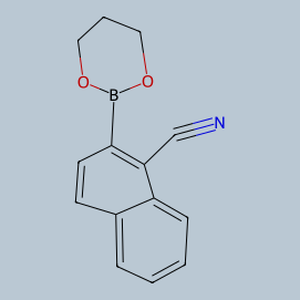 N#Cc1c(B2OCCCO2)ccc2ccccc12